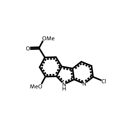 COC(=O)c1cc(OC)c2[nH]c3nc(Cl)ccc3c2c1